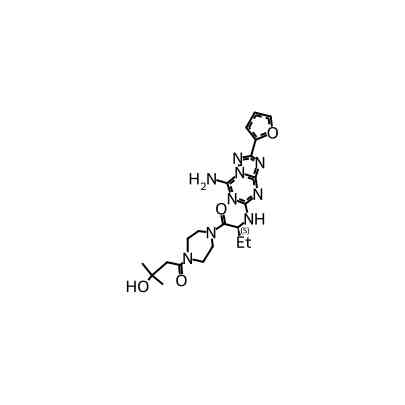 CC[C@H](Nc1nc(N)n2nc(-c3ccco3)nc2n1)C(=O)N1CCN(C(=O)CC(C)(C)O)CC1